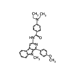 CCN(CC)c1ccc(C(=O)Nc2cc3c4ccccc4n(C)c3c(-c3ccc(OC)cc3)n2)cc1